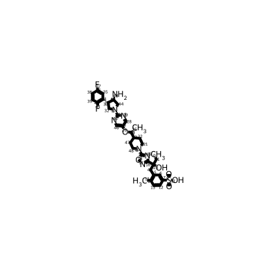 CCC(O)(Cc1cc(S(=O)(=O)O)ccc1C)c1noc(N2CCC([C@H](C)Oc3cnc(N4C[C@H](c5cc(F)ccc5F)[C@@H](N)C4)nc3)CC2)n1